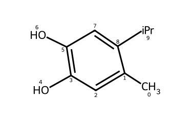 Cc1cc(O)c(O)cc1C(C)C